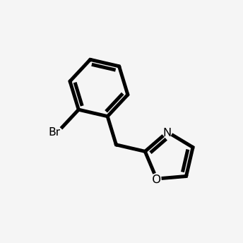 Brc1ccccc1Cc1ncco1